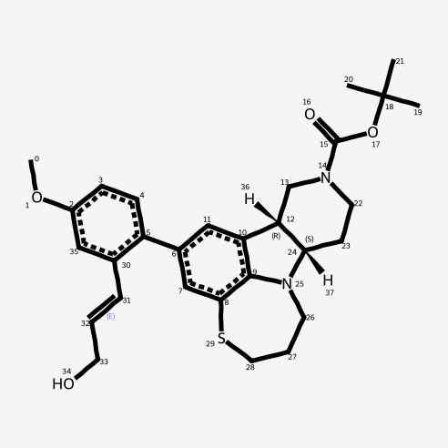 COc1ccc(-c2cc3c4c(c2)[C@@H]2CN(C(=O)OC(C)(C)C)CC[C@@H]2N4CCCS3)c(/C=C/CO)c1